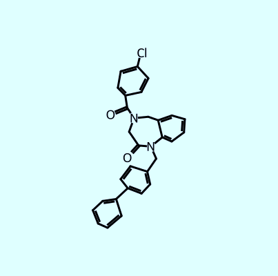 O=C(c1ccc(Cl)cc1)N1CC(=O)N(Cc2ccc(-c3ccccc3)cc2)c2ccccc2C1